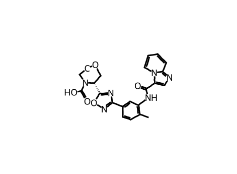 Cc1ccc(-c2noc([C@H]3COCCN3C(=O)O)n2)cc1NC(=O)c1cnc2ccccn12